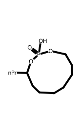 CCCC1CCCCCCCOP(=O)(O)O1